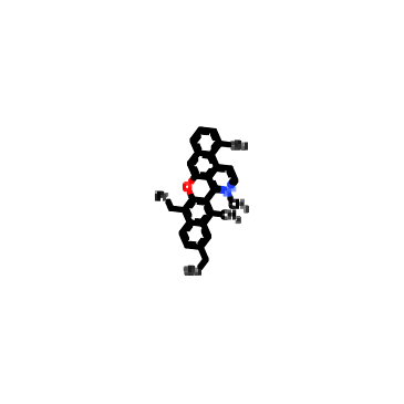 Cc1c2c(c(CC(C)C)c3ccc(CC(C)(C)C)cc13)Oc1cc3cccc(C(C)(C)C)c3c3cc[n+](C)c-2c13